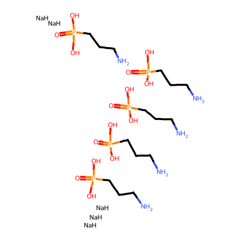 N[CH]CCP(=O)(O)O.N[CH]CCP(=O)(O)O.N[CH]CCP(=O)(O)O.N[CH]CCP(=O)(O)O.N[CH]CCP(=O)(O)O.[NaH].[NaH].[NaH].[NaH].[NaH]